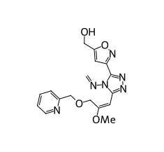 C=Nn1c(/C=C(\COCc2ccccn2)OC)nnc1-c1cc(CO)on1